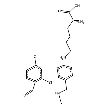 CNCc1ccccc1.NCCCC[C@H](N)C(=O)O.O=Cc1ccc(Cl)cc1Cl